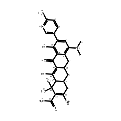 CN(C)c1cc(-c2ccc(N)nc2)c(O)c2c1CC1CC3CC(O)=C(C(N)=O)C4(O)O[C@]34C(O)=C1C2=O